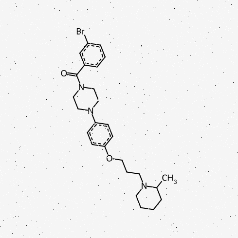 CC1CCCCN1CCCOc1ccc(N2CCN(C(=O)c3cccc(Br)c3)CC2)cc1